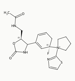 CC(=O)N[CH][C@@H]1OC(=O)NC1C1=C[C@](F)([N+]2(c3nccs3)CCCC2)CC=C1